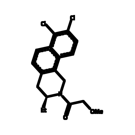 CC[C@H]1Cc2ccc3c(Cl)c(Cl)ccc3c2CN1C(=O)COC